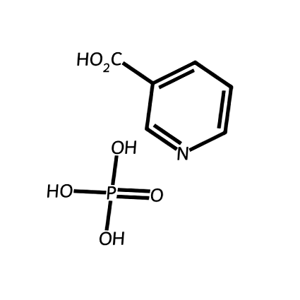 O=C(O)c1cccnc1.O=P(O)(O)O